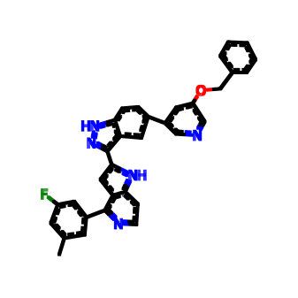 Cc1cc(F)cc(-c2nccc3[nH]c(-c4n[nH]c5ccc(-c6cncc(OCc7ccccc7)c6)cc45)cc23)c1